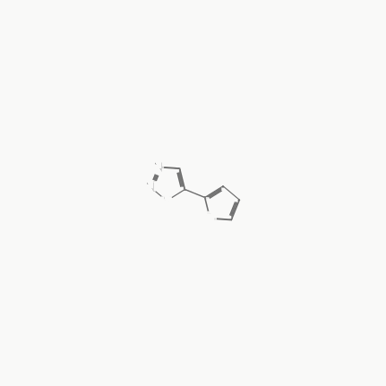 [c]1nnsc1-c1ccco1